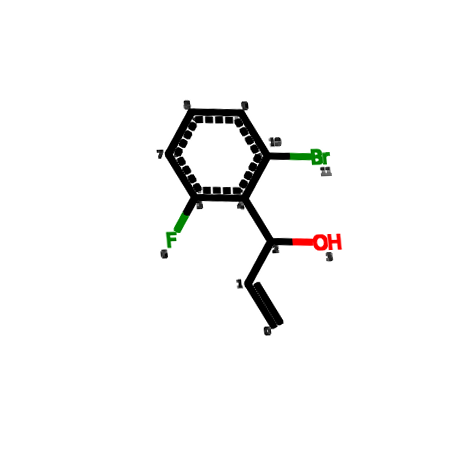 C=CC(O)c1c(F)cccc1Br